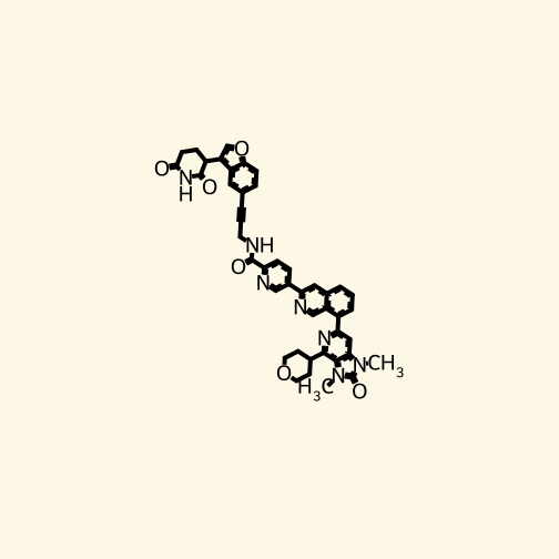 Cn1c(=O)n(C)c2c(C3CCOCC3)nc(-c3cccc4cc(-c5ccc(C(=O)NCC#Cc6ccc7occ(C8CCC(=O)NC8=O)c7c6)nc5)ncc34)cc21